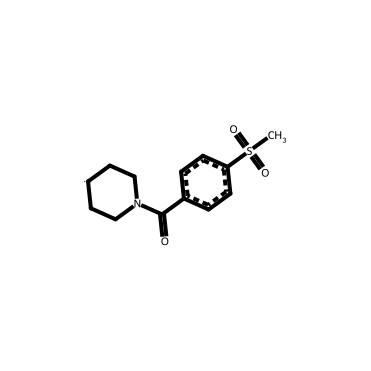 CS(=O)(=O)c1ccc(C(=O)N2CC[CH]CC2)cc1